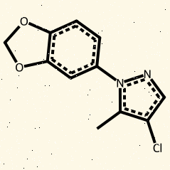 Cc1c(Cl)cnn1-c1ccc2c(c1)OCO2